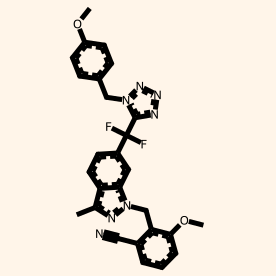 COc1ccc(Cn2nnnc2C(F)(F)c2ccc3c(C)nn(Cc4c(C#N)cccc4OC)c3c2)cc1